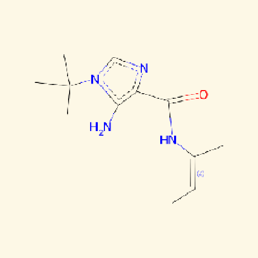 C/C=C(/C)NC(=O)c1ncn(C(C)(C)C)c1N